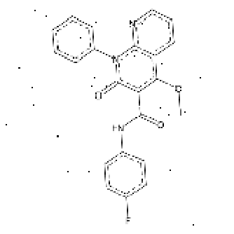 O=C(Nc1ccc(F)cc1)c1c(OI)c2cccnc2n(-c2ccccc2)c1=O